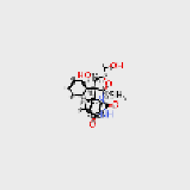 Cc1cn([C@]2([SiH3])O[C@H](CO)[C@@H](O)C2(c2ccccc2)c2ccccc2)c(=O)[nH]c1=O